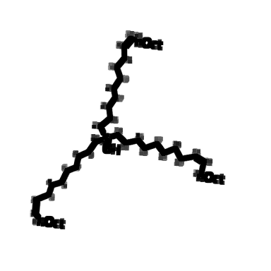 CCCCCCCC/C=C\CCCCCCCC[Si](O)(CCCCCCCC/C=C\CCCCCCCC)CCCCCCCC/C=C\CCCCCCCC